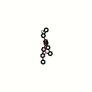 c1ccc(-c2ccc3c4ccc(-c5ccccc5)cc4n(-c4ccccc4-c4ccc(-c5ccc(-c6ccc7oc8ccccc8c7c6)cc5)cc4)c3c2)cc1